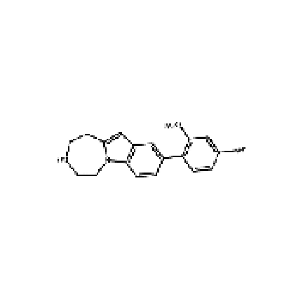 COc1cc(C(C)C)ccc1-c1ccc2c(c1)cc1n2CCNCC1